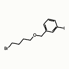 BrCCCCOCc1cccc(I)c1